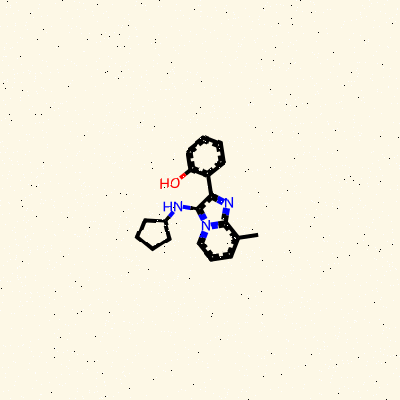 Cc1cccn2c(NC3CCCC3)c(-c3ccccc3O)nc12